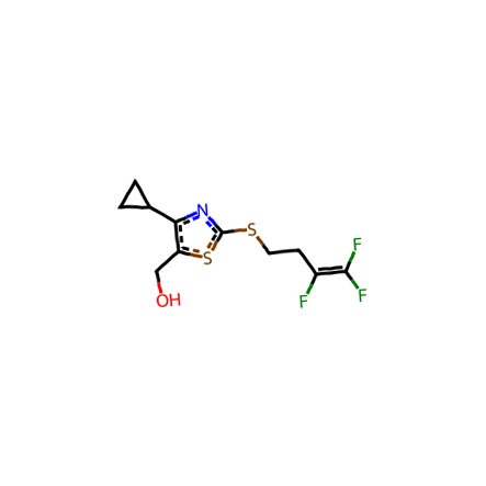 OCc1sc(SCCC(F)=C(F)F)nc1C1CC1